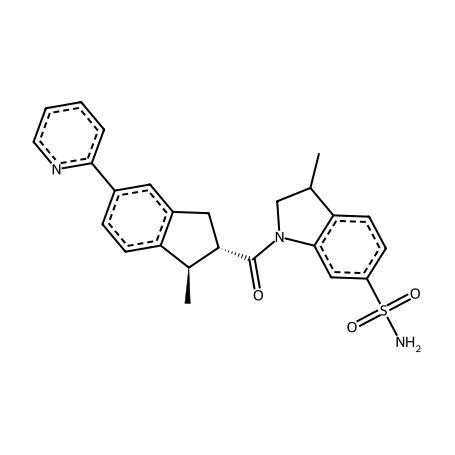 CC1CN(C(=O)[C@H]2Cc3cc(-c4ccccn4)ccc3[C@@H]2C)c2cc(S(N)(=O)=O)ccc21